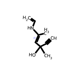 C#CC(C)(O)/C=C(\C)NC=C